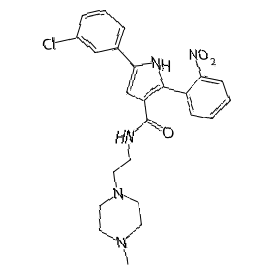 CN1CCN(CCNC(=O)c2cc(-c3cccc(Cl)c3)[nH]c2-c2ccccc2[N+](=O)[O-])CC1